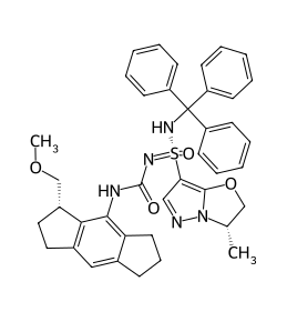 COC[C@H]1CCc2cc3c(c(NC(=O)N=[S@](=O)(NC(c4ccccc4)(c4ccccc4)c4ccccc4)c4cnn5c4OC[C@@H]5C)c21)CCC3